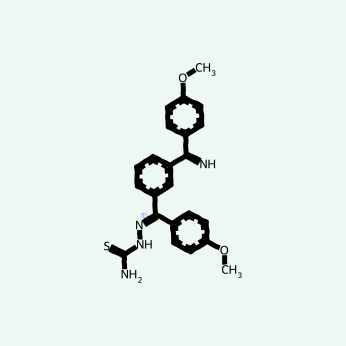 COc1ccc(C(=N)c2cccc(/C(=N/NC(N)=S)c3ccc(OC)cc3)c2)cc1